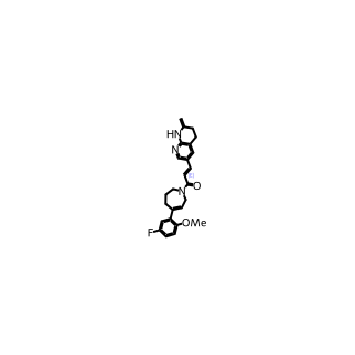 C=C1CCc2cc(/C=C/C(=O)N3CC=C(c4cc(F)ccc4OC)CCC3)cnc2N1